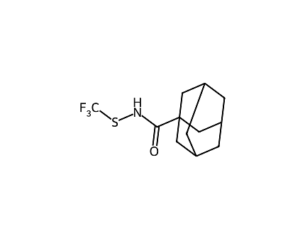 O=C(NSC(F)(F)F)C12CC3CC(CC(C3)C1)C2